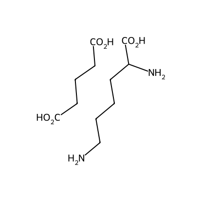 NCCCCC(N)C(=O)O.O=C(O)CCCC(=O)O